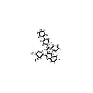 Fc1ccc(-c2nc3ccccc3c3c2cc(-c2ccc(-c4cccnc4)cc2)c2ccccc23)cc1F